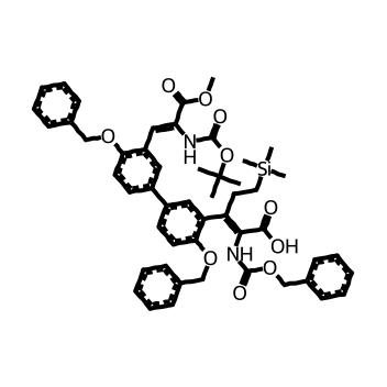 COC(=O)C(=Cc1cc(-c2ccc(OCc3ccccc3)c(C(CC[Si](C)(C)C)=C(NC(=O)OCc3ccccc3)C(=O)O)c2)ccc1OCc1ccccc1)NC(=O)OC(C)(C)C